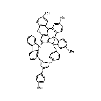 CC(C)(C)c1ccc(-c2cc3cc(c2)-c2cccc4c5ccccc5n(c24)-c2cc4c5c6c2C(C)(c2ccc-3cc2)c2cc(C(C)(C)C)ccc2N6c2ccc(C(C)(C)C)cc2B5c2cc(C(C)(C)C)ccc2O4)cc1